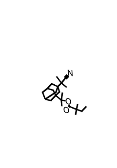 CCC(C)(C)C(=O)OC(C)(C)C12CC3CC(CC(C(C)(C)C#N)(C3)C1)C2